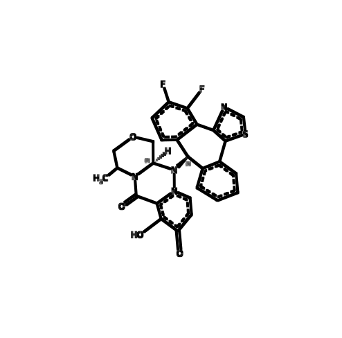 CC1COC[C@@H]2N1C(=O)c1c(O)c(=O)ccn1N2[C@@H]1c2ccccc2-c2scnc2-c2c1ccc(F)c2F